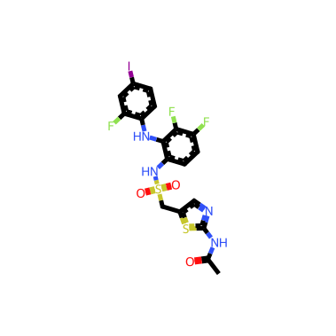 CC(=O)Nc1ncc(CS(=O)(=O)Nc2ccc(F)c(F)c2Nc2ccc(I)cc2F)s1